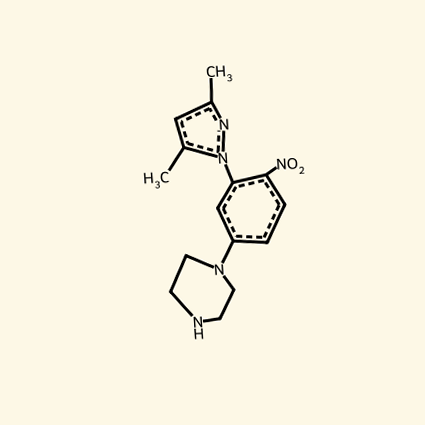 Cc1cc(C)n(-c2cc(N3CCNCC3)ccc2[N+](=O)[O-])n1